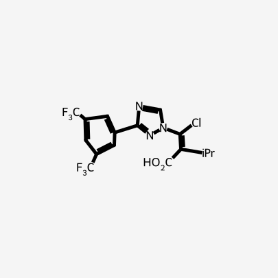 CC(C)C(C(=O)O)=C(Cl)n1cnc(-c2cc(C(F)(F)F)cc(C(F)(F)F)c2)n1